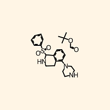 CC(C)(C)OC=O.O=S(=O)(c1ccccc1)C1NCCc2c1cccc2N1CCNCC1